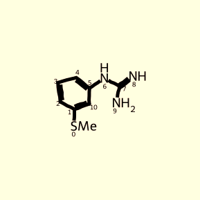 CSc1cccc(NC(=N)N)c1